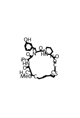 CO[C@@H]1CC/C=C/c2csc(c2)COC(=O)[C@@H]2CCCN(N2)C(=O)[C@H](Cc2cccc(O)c2)NC(=O)[C@H](C(C)C)NC(=O)[C@@H]1C